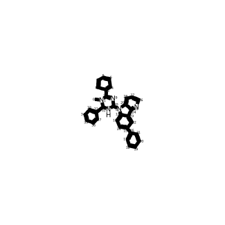 CN1C(c2ccccc2)=NC(n2c3ccc(-c4ccccc4)cc3c3ncccc32)NC1c1ccccc1